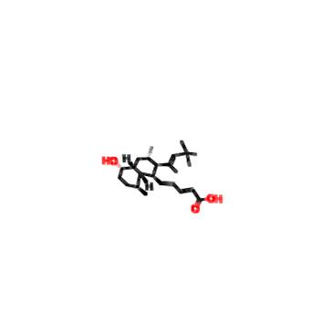 C/C(=C\C(C)(C)C)[C@H]1[C@@H](/C=C/C=C/C(=O)O)[C@H]2[C@@H](C[C@@H]1C)[C@@H](O)CC[C@@H]2C